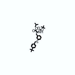 CC(C)COC(=O)[C@H](Cc1cccc(SCc2ccc(C(C)(C)C)cc2)c1)NC(=O)OC(C)(C)C